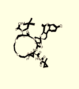 Cc1nc2cc(Cl)ccc2c2c1O[C@]1(CC2)C[C@H]2C(=O)N[C@]3(C(=O)NS(=O)(=O)C4(C)CC4)C[C@@H]3CCCCCCC[C@H](N(CC(C)(C)C)C(=O)O)C(=O)N2C1